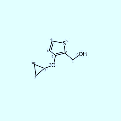 OCc1sccc1OC1CC1